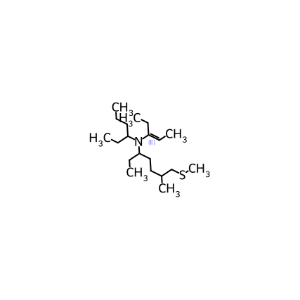 C/C=C(\CC)N(C(CC)CCC)C(CC)CCC(C)CSC